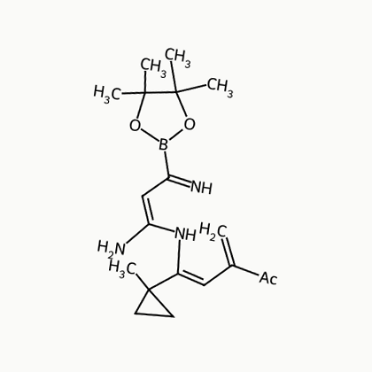 C=C(/C=C(\N/C(N)=C\C(=N)B1OC(C)(C)C(C)(C)O1)C1(C)CC1)C(C)=O